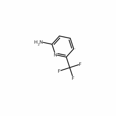 Nc1cc[c]c(C(F)(F)F)n1